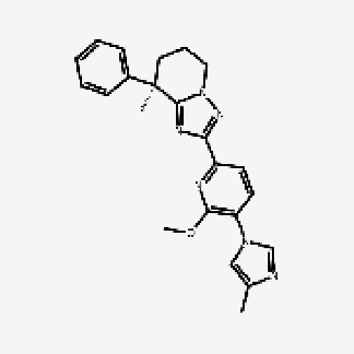 COc1nc(-c2nc3n(n2)CCC[C@]3(C)c2ccccc2)ccc1-n1cnc(C)c1